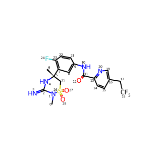 CN1C(=N)N[C@](C)(c2cc(NC(=O)c3ccc(CC(F)(F)F)cn3)ccc2F)CS1(=O)=O